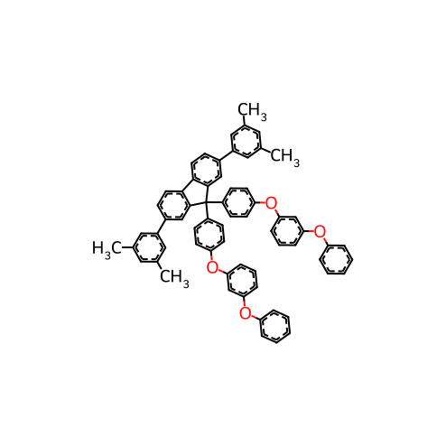 Cc1cc(C)cc(-c2ccc3c(c2)C(c2ccc(Oc4cccc(Oc5ccccc5)c4)cc2)(c2ccc(Oc4cccc(Oc5ccccc5)c4)cc2)c2cc(-c4cc(C)cc(C)c4)ccc2-3)c1